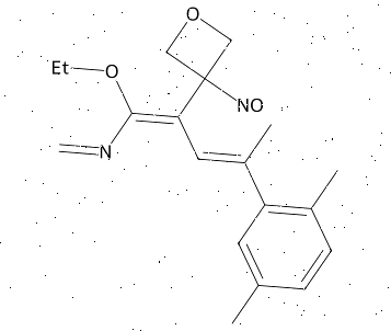 C=N/C(OCC)=C(\C=C(/C)c1cc(C)ccc1C)C1(N=O)COC1